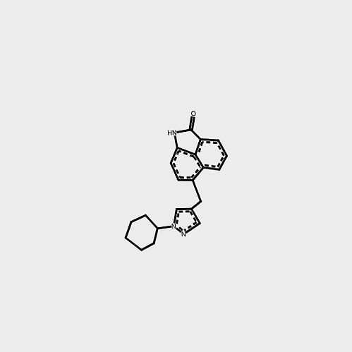 O=C1Nc2ccc(Cc3cnn(C4CCCCC4)c3)c3cccc1c23